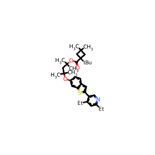 CCc1cc(CC)c(-c2cc3ccc(OC(C)(C)CC(C)(C)OC(=O)C4(C(C)(C)C)CC(C)(C)C4)cc3s2)cn1